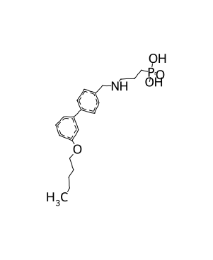 CCCCCOc1cccc(-c2ccc(CNCCCP(=O)(O)O)cc2)c1